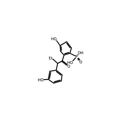 CCC(C(=O)c1cc(O)ccc1P(=O)(O)O)c1cccc(O)c1